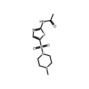 CC(=O)Nc1ncc(S(=O)(=O)N2CCN(C)CC2)s1